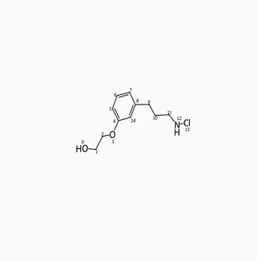 OCCOc1cccc(CCCNCl)c1